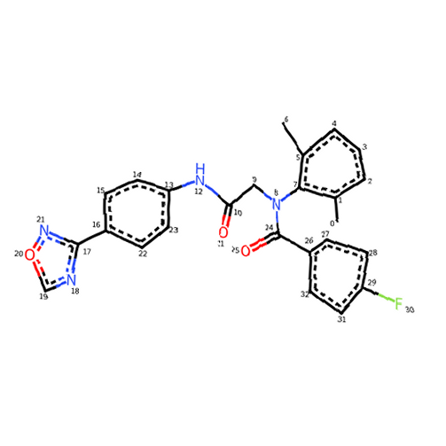 Cc1cccc(C)c1N(CC(=O)Nc1ccc(-c2ncon2)cc1)C(=O)c1ccc(F)cc1